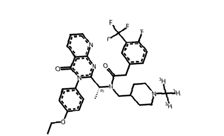 [3H]C([3H])([3H])N1CCC(CN(C(=O)Cc2ccc(F)c(C(F)(F)F)c2)[C@H](C)c2nc3ncccc3c(=O)n2-c2ccc(OCC)cc2)CC1